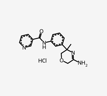 CC1(c2cccc(NC(=O)c3cccnc3)c2)COCC(N)=N1.Cl